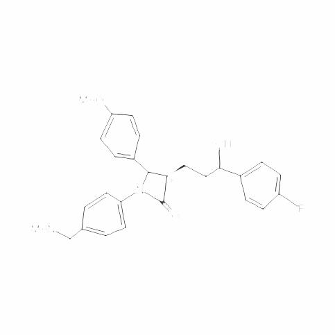 CNCc1ccc(N2C(=O)[C@H](CCC(O)c3ccc(F)cc3)C2c2ccc(OC)cc2)cc1